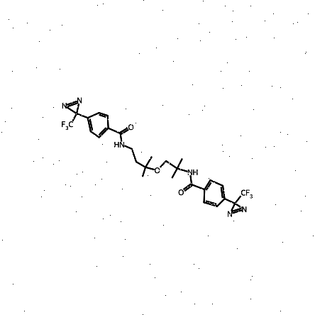 CC(C)(COC(C)(C)CCNC(=O)c1ccc(C2(C(F)(F)F)N=N2)cc1)NC(=O)c1ccc(C2(C(F)(F)F)N=N2)cc1